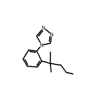 CCCC(C)(C)c1ccccc1-n1cnnc1